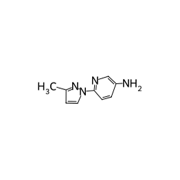 Cc1ccn(-c2ccc(N)cn2)n1